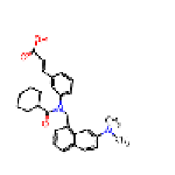 CN(C)c1ccc2cccc(CN(C(=O)C3CCCCC3)c3cccc(C=CC(=O)O)c3)c2c1